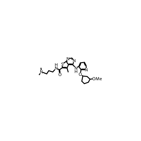 COC1CCCC(Oc2ncccc2Nc2ncnc3sc(C(=O)NCCCN(C)C)c(C)c23)C1